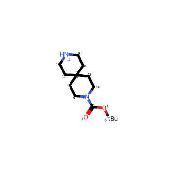 CC(C)(C)OC(=O)N1C[CH]C2(CCNCC2)CC1